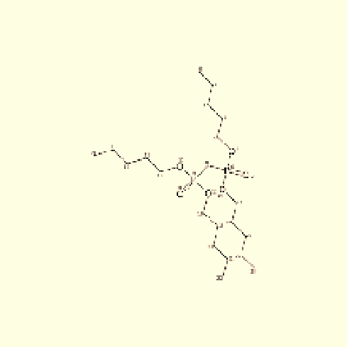 CCCCCOP(=O)(CP(=O)(OCCCCC)OCCCCC)OCCCCC